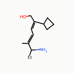 CCC(N)/C(C)=C/C=C(/CO)C1CCC1